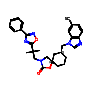 CC(C)(CN1C[C@@]2(CCC[C@H](Cn3cnc4ccc(C#N)cc43)C2)OC1=O)c1nc(-c2ccccc2)no1